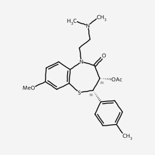 COc1ccc2c(c1)S[C@@H](c1ccc(C)cc1)[C@@H](OC(C)=O)C(=O)N2CCN(C)C